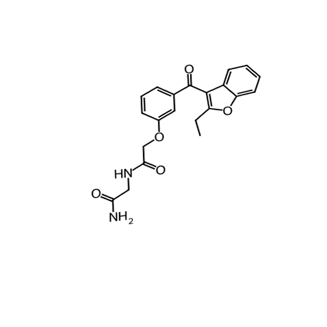 CCc1oc2ccccc2c1C(=O)c1cccc(OCC(=O)NCC(N)=O)c1